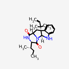 C=CC(C)(C)[C@@]12C[C@H]3C(=O)N[C@H]([C@@H](C)CC)C(=O)N3[C@@H]1Nc1ccccc12